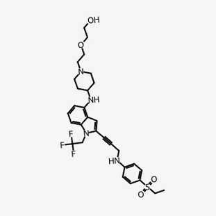 CCS(=O)(=O)c1ccc(NCC#Cc2cc3c(NC4CCN(CCOCCO)CC4)cccc3n2CC(F)(F)F)cc1